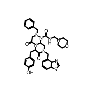 O=C1C(Cc2ccc(O)cc2)N2C(=O)CN(Cc3ccccc3)N(C(=O)NCN3CCOCC3)C2CN1CC1=CC=CC2SC=NC12